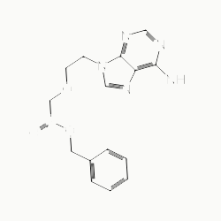 C[C@H](Cn1cnc2c(N)ncnc21)OC[PH](=O)OCc1ccccc1